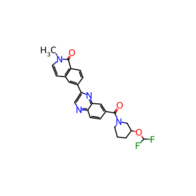 Cn1ccc2cc(-c3cnc4ccc(C(=O)N5CCCC(OC(F)F)C5)cc4n3)ccc2c1=O